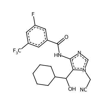 N#CCn1cnc(NC(=O)c2cc(F)cc(C(F)(F)F)c2)c1C(O)C1CCCCC1